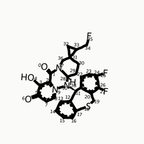 O=C1c2c(O)c(=O)ccn2N([C@@H]2c3ccccc3SCc3c2ccc(F)c3F)[C@@H]2CCC3(CC3CF)CN12